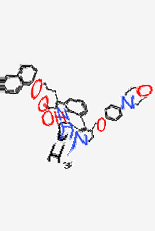 CCc1nccc(COc2ccc(N3CCOCC3)cc2)c1-c1cccc2c(CCCOc3cccc4ccccc34)c(C(=O)O)[nH]c12